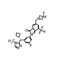 Cn1cnnc1[C@@H](c1cc(F)cc(-n2cc3c(C(F)(F)F)cc(CN4CC(F)(F)C4)cn3c2=O)c1)C1CCC1